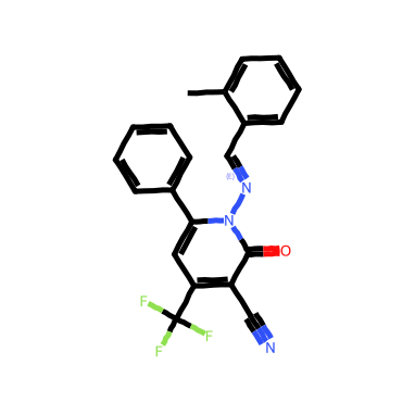 Cc1ccccc1/C=N/n1c(-c2ccccc2)cc(C(F)(F)F)c(C#N)c1=O